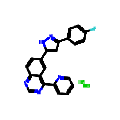 Cl.Cl.Fc1ccc(-c2cc(-c3ccc4ncnc(-c5ccccn5)c4c3)[nH]n2)cc1